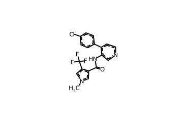 Cn1cc(C(=O)Nc2cnccc2-c2ccc(Cl)cc2)c(C(F)(F)F)c1